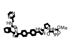 COC(=O)N[C@H](C(=O)N1CCC[C@H]1c1ncc(-c2ccc(-c3ccc(-c4cnc(C5C6CCC(C6)[C@@H]5C(=O)NCc5cnccn5)[nH]4)cc3)cc2)[nH]1)C(C)C